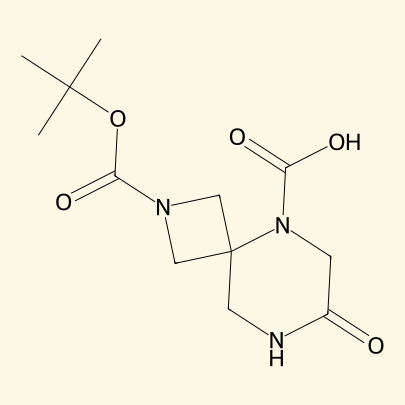 CC(C)(C)OC(=O)N1CC2(CNC(=O)CN2C(=O)O)C1